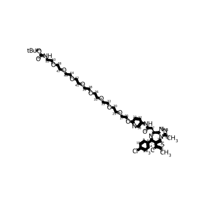 Cc1sc2c(c1C)C(c1ccc(Cl)cc1)=N[C@@H](CC(=O)Nc1ccc(OCCOCCOCCOCCOCCOCCOCCOCCOCCNC(=O)OC(C)(C)C)nc1)c1nnc(C)n1-2